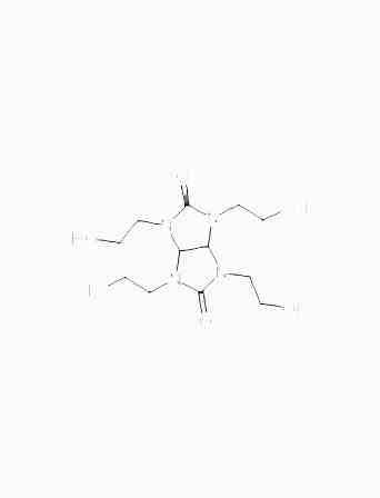 O=C1N(CCO)C2C(N1CCO)N(CCO)C(=O)N2CCO